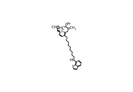 CCCC(C=O)N(C)C/C(C)=C(/C=C\C=C\C=O)SCCCCCCCCNc1cccc2ccsc12